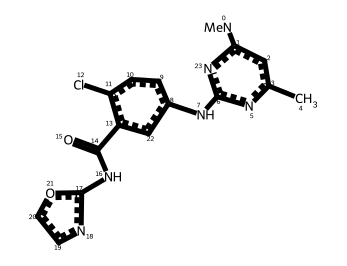 CNc1cc(C)nc(Nc2ccc(Cl)c(C(=O)Nc3ncco3)c2)n1